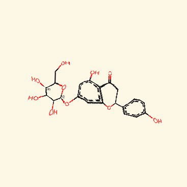 O=C1CC(c2ccc(O)cc2)Oc2cc(O[C@@H]3OC(CO)[C@H](O)C(O)C3O)cc(O)c21